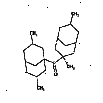 CC1CC2CC(C1)CC(C)([PH](=O)C13CC(C)CC(CC(C)C1)C3)C2